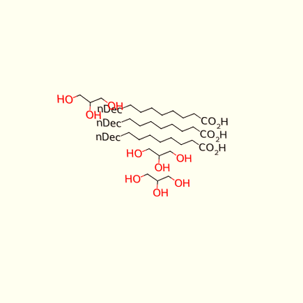 CCCCCCCCCCCCCCCCCC(=O)O.CCCCCCCCCCCCCCCCCC(=O)O.CCCCCCCCCCCCCCCCCC(=O)O.OCC(O)CO.OCC(O)CO.OCC(O)CO